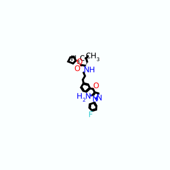 CC(C)C[C@H](NCCCc1cccc(C(=O)c2cnn(-c3ccc(F)cc3)c2N)c1)C(=O)OC1CCCC1